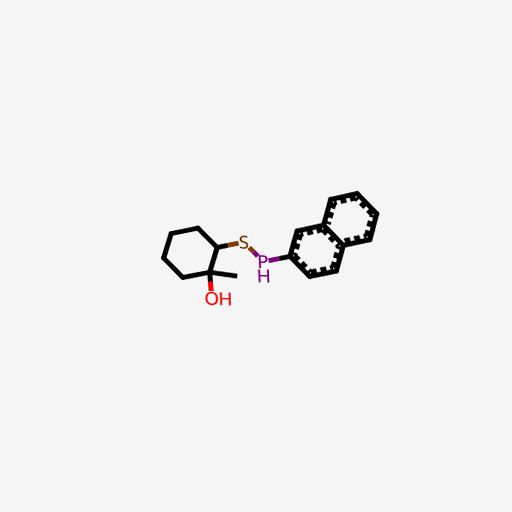 CC1(O)CCCCC1SPc1ccc2ccccc2c1